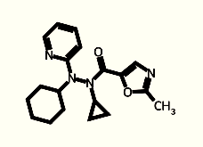 Cc1ncc(C(=O)N(C2CC2)N(c2ccccn2)C2CCCCC2)o1